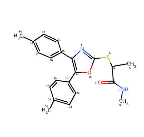 CNC(=O)C(C)Sc1nc(-c2ccc(C)cc2)c(-c2ccc(C)cc2)o1